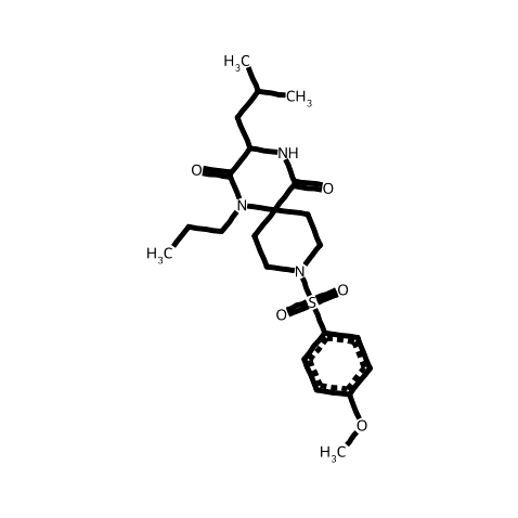 CCCN1C(=O)C(CC(C)C)NC(=O)C12CCN(S(=O)(=O)c1ccc(OC)cc1)CC2